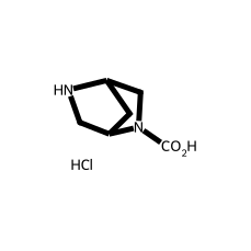 Cl.O=C(O)N1CC2CC1CN2